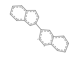 [c]1[c]c2ccccc2cc1-c1ccc2ccccc2c1